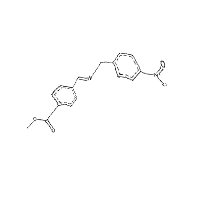 COC(=O)c1ccc(/C=N/Cc2ccc([N+](=O)[O-])cc2)cc1